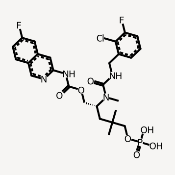 CN(C(=O)NCc1cccc(F)c1Cl)[C@@H](COC(=O)Nc1cc2cc(F)ccc2cn1)CC(C)(C)COP(=O)(O)O